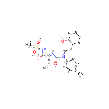 CCc1oc(N(CCC2CCCCC2O)c2ccc(C#N)cc2)nc1C(=O)NS(C)(=O)=O